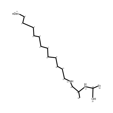 CCCCCCCCCCCCCCCCCCCCCCNCC(C)NC(O)CC